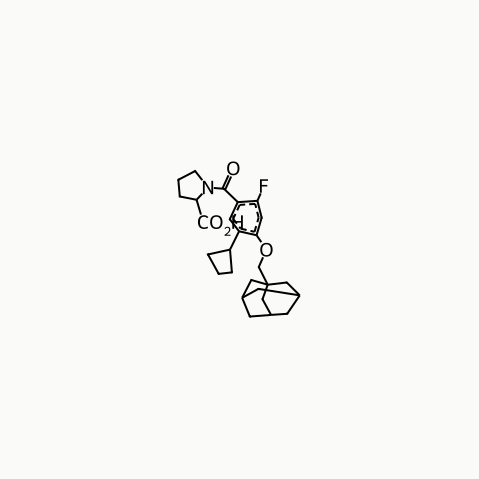 O=C(O)C1CCCN1C(=O)c1cc(C2CCC2)c(OCC23CC4CC(CC(C4)C2)C3)cc1F